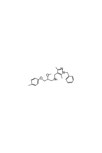 COC(COc1ccc(C)cc1)CN(C)Cc1c(C)nn(Cc2ccccc2)c1C